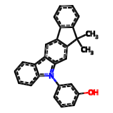 CC1(C)c2ccccc2-c2cc3c4ccccc4n(-c4cccc(O)c4)c3cc21